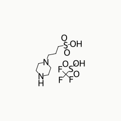 O=S(=O)(O)C(F)(F)F.O=S(=O)(O)CCCN1CCNCC1